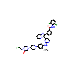 COc1cc(N2CCC(N3CCN(CCF)C(=O)C3)CC2)ccc1Nc1nccc(-c2c(-c3cccc(C(=O)Nc4c(F)cccc4F)c3)nc3ccccn23)n1